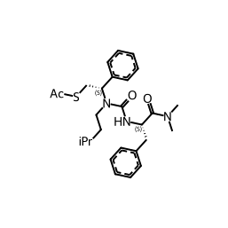 CC(=O)SC[C@H](c1ccccc1)N(CCC(C)C)C(=O)N[C@@H](Cc1ccccc1)C(=O)N(C)C